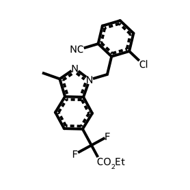 CCOC(=O)C(F)(F)c1ccc2c(C)nn(Cc3c(Cl)cccc3C#N)c2c1